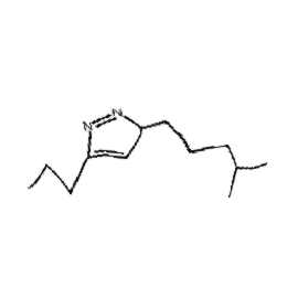 CCCC1=CC(CCCC(C)C)N=N1